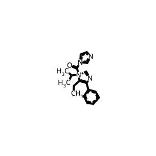 CCC1=C(c2ccccc2)N=C[N+]1(C(=O)n1ccnc1)C(C)C